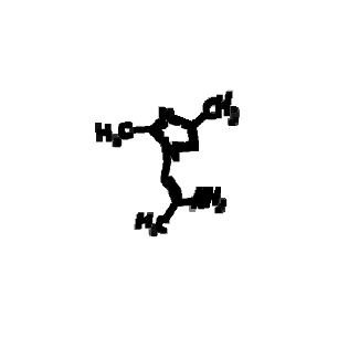 C/C(N)=C/n1cc(C)nc1C